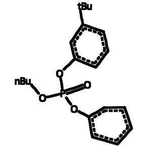 CCCCOP(=O)(Oc1ccccc1)Oc1cccc(C(C)(C)C)c1